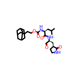 CC(C)C[C@H](NC(=O)OCCC12CC3CC(CC(C3)C1)C2)C(=O)N[C@H](C=O)C[C@@H]1CCNC1=O